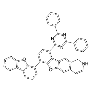 C1=Cc2cc3oc4c(-c5cccc6c5oc5ccccc56)ccc(-c5nc(-c6ccccc6)nc(-c6ccccc6)n5)c4c3cc2CN1